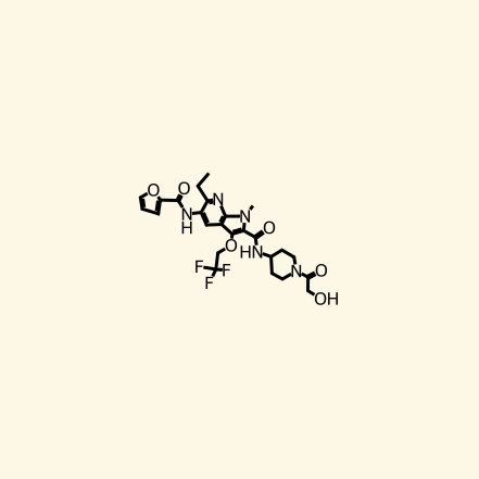 CCc1nc2c(cc1NC(=O)c1ccco1)c(OCC(F)(F)F)c(C(=O)NC1CCN(C(=O)CO)CC1)n2C